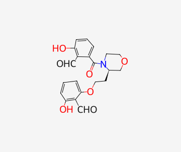 O=Cc1c(O)cccc1OCC[C@@H]1COCCN1C(=O)c1cccc(O)c1C=O